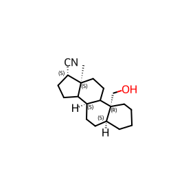 C[C@]12CCC3[C@@H](CC[C@@H]4CCCC[C@]34CO)C1CC[C@@H]2C#N